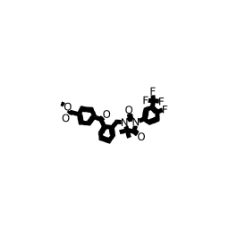 COC(=O)c1ccc(C(=O)c2ccccc2CN2C(=O)N(c3ccc(F)c(C(F)(F)F)c3)C(=O)C2(C)C)cc1